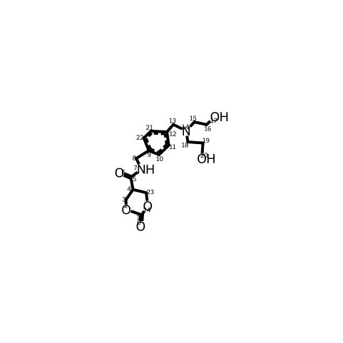 O=C1OCC(C(=O)NCc2ccc(CN(CCO)CCO)cc2)CO1